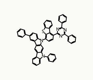 c1ccc(-c2ccc3c(c2)c2cc4c5ccccc5n(-c5ccccc5)c4cc2n3-c2ccc(-c3nc(-c4ccccc4)nc(-c4ccccc4)n3)c3c2sc2ccccc23)cc1